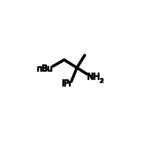 CCCCCC(C)(N)C(C)C